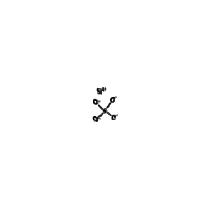 [O-][Si]([O-])([O-])[O-].[Si+4]